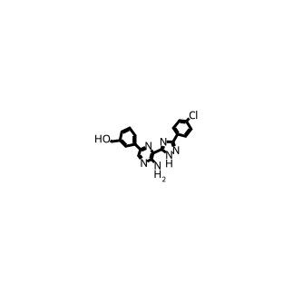 Nc1ncc(-c2cccc(CO)c2)nc1-c1nc(-c2ccc(Cl)cc2)n[nH]1